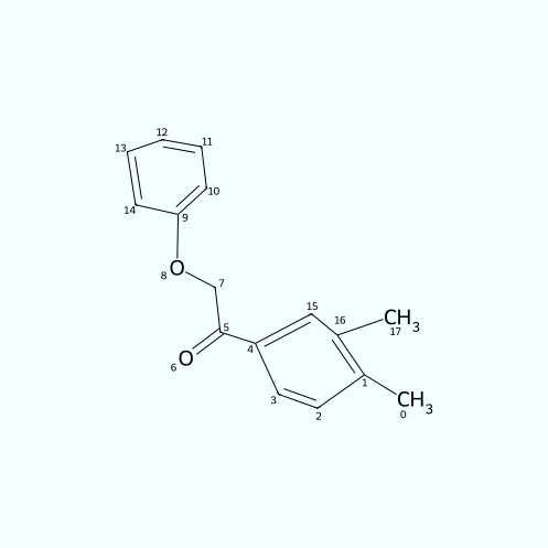 Cc1ccc(C(=O)COc2ccccc2)cc1C